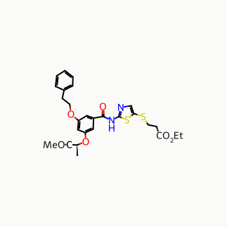 CCOC(=O)CCSc1cnc(NC(=O)c2cc(OCCc3ccccc3)cc(O[C@@H](C)COC)c2)s1